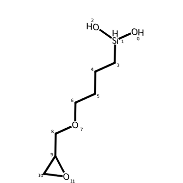 O[SiH](O)CCCCOCC1CO1